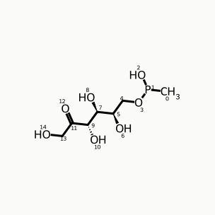 CP(O)OC[C@@H](O)[C@H](O)[C@H](O)C(=O)CO